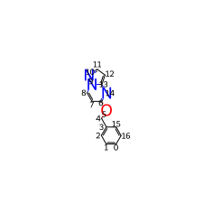 c1ccc(COc2ccn3nccc3n2)cc1